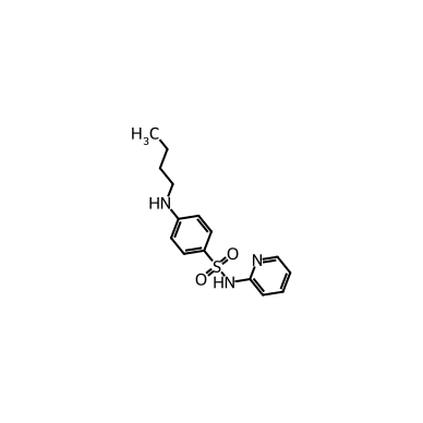 CCCCNc1ccc(S(=O)(=O)Nc2ccccn2)cc1